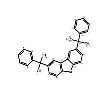 CC(C)(c1ccccc1)c1ccc2[nH]c3ccc(C(C)(C)c4ccccc4)cc3c2c1